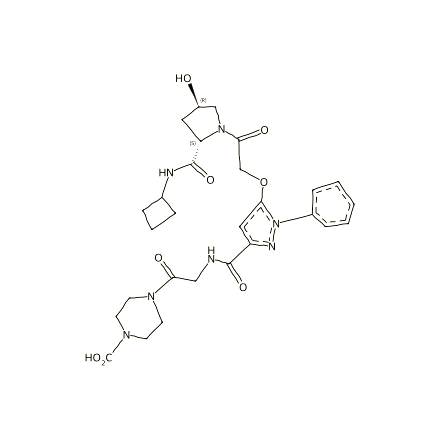 O=C(NCC(=O)N1CCN(C(=O)O)CC1)c1cc(OCC(=O)N2C[C@H](O)C[C@H]2C(=O)NC2CCC2)n(-c2ccccc2)n1